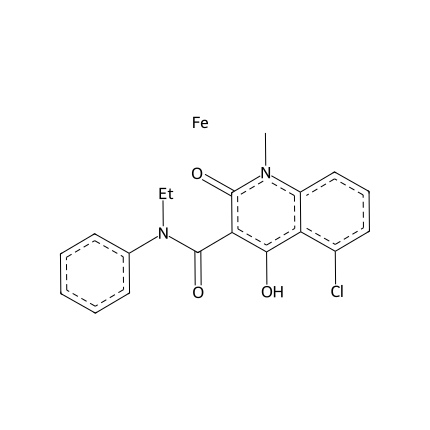 CCN(C(=O)c1c(O)c2c(Cl)cccc2n(C)c1=O)c1ccccc1.[Fe]